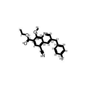 CCOC(=O)c1cc(C#N)c2cc(Cc3ccc(F)cc3)cnc2c1OC